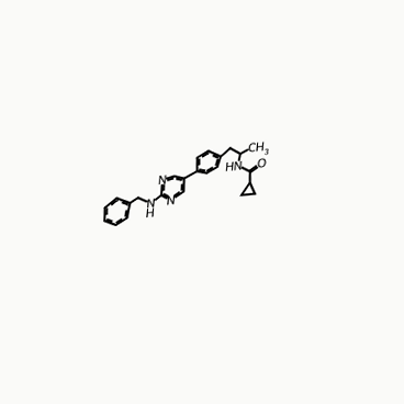 CC(Cc1ccc(-c2cnc(NCc3ccccc3)nc2)cc1)NC(=O)C1CC1